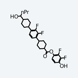 CCCC(O)C1CCC(c2ccc(C3CCC(C(=O)Oc4ccc(O)c(F)c4F)CC3)c(F)c2F)CC1